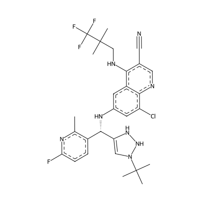 Cc1nc(F)ccc1[C@H](Nc1cc(Cl)c2ncc(C#N)c(NCC(C)(C)C(F)(F)F)c2c1)C1=CN(C(C)(C)C)NN1